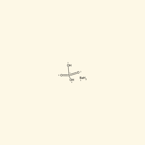 O=S(=O)(O)O.[BaH2]